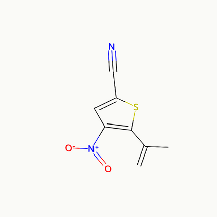 C=C(C)c1sc(C#N)cc1[N+](=O)[O-]